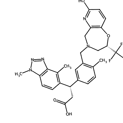 Cc1ccc([C@H](CC(=O)O)c2ccc3c(nnn3C)c2C)cc1CN1Cc2nc(O)ccc2O[C@H](C(F)(F)F)C1